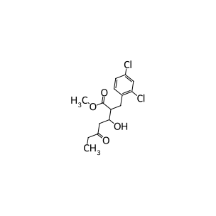 CCC(=O)CC(O)C(Cc1ccc(Cl)cc1Cl)C(=O)OC